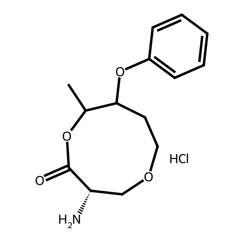 CC1OC(=O)[C@@H](N)COCCC1Oc1ccccc1.Cl